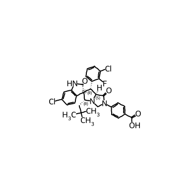 CC(C)(C)C[C@H]1N2CN(c3ccc(C(=O)O)cc3)C(=O)[C@@H]2[C@@H](c2cccc(Cl)c2F)[C@@]12C(=O)Nc1cc(Cl)ccc12